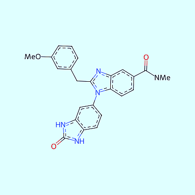 CNC(=O)c1ccc2c(c1)nc(Cc1cccc(OC)c1)n2-c1ccc2[nH]c(=O)[nH]c2c1